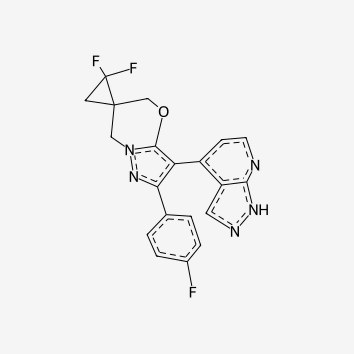 Fc1ccc(-c2nn3c(c2-c2ccnc4[nH]ncc24)OCC2(C3)CC2(F)F)cc1